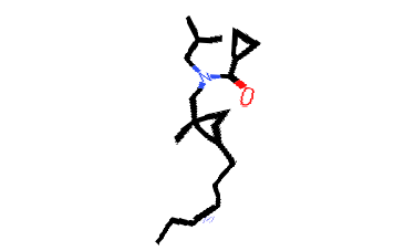 CC/C=C\CCC1CC1(C)CN(CC(C)C)C(=O)C1CC1